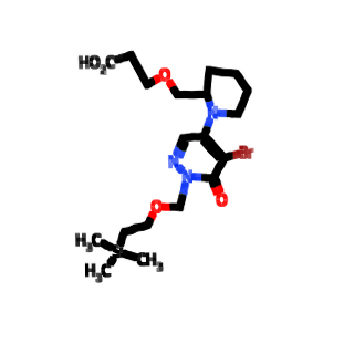 C[Si](C)(C)CCOCn1ncc(N2CCCCC2COCCC(=O)O)c(Br)c1=O